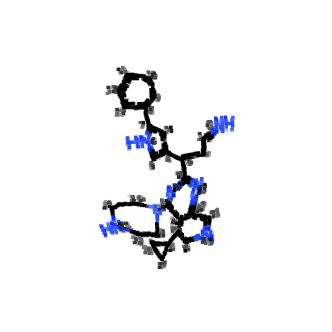 N=C/C=C(\c1c[nH]c(-c2ccccc2)c1)c1nc(N2CCNCC2)c2c(C3CC3)cncc2n1